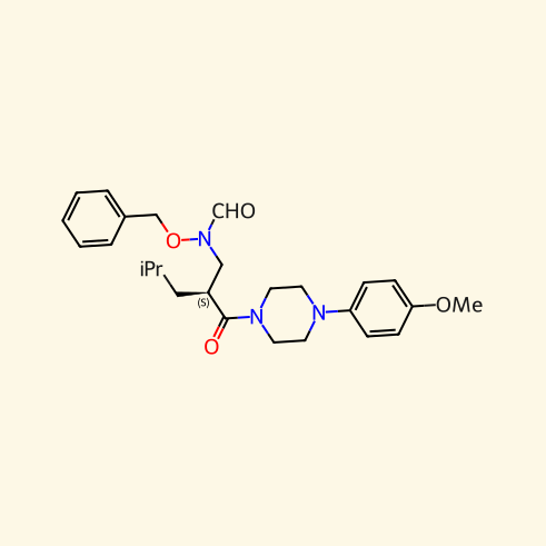 COc1ccc(N2CCN(C(=O)[C@@H](CC(C)C)CN(C=O)OCc3ccccc3)CC2)cc1